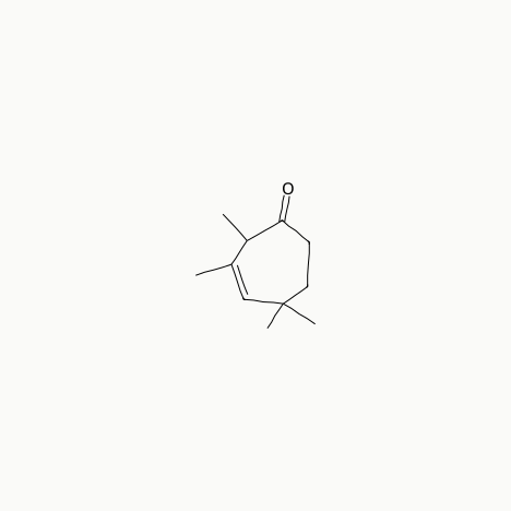 CC1=CC(C)(C)CCC(=O)C1C